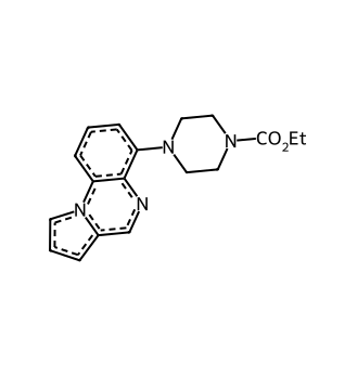 CCOC(=O)N1CCN(c2cccc3c2ncc2cccn23)CC1